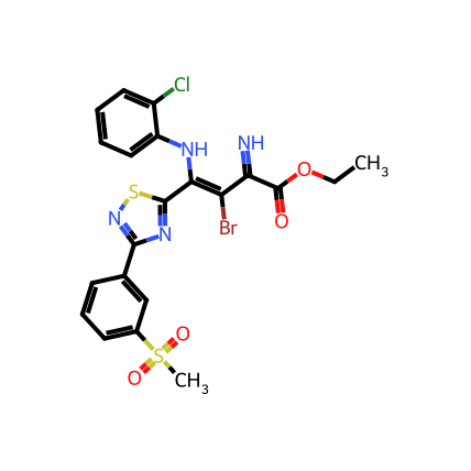 CCOC(=O)C(=N)/C(Br)=C(\Nc1ccccc1Cl)c1nc(-c2cccc(S(C)(=O)=O)c2)ns1